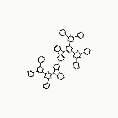 c1ccc(-c2cc(-c3ccccc3)cc(-c3nc(-c4ccccc4)nc(-n4c5ccccc5c5cc(-c6ccc7c(c6)c6ccccc6n7-c6cc(-c7nc(-c8ccccc8)nc(-c8ccccc8)n7)cc(-c7nc(-c8ccccc8)nc(-c8ccccc8)n7)c6)ccc54)n3)c2)cc1